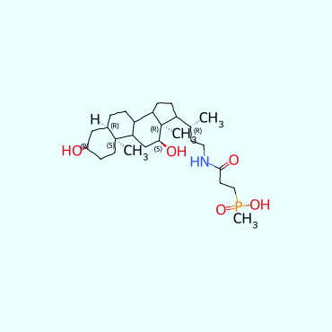 C[C@H](CCNC(=O)CCP(C)(=O)O)C1CCC2C3CC[C@@H]4C[C@H](O)CC[C@]4(C)C3C[C@H](O)[C@@]21C